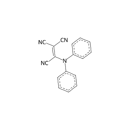 N#CC(C#N)=C(C#N)N(c1ccccc1)c1ccccc1